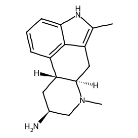 Cc1[nH]c2cccc3c2c1C[C@@H]1[C@@H]3C[C@H](N)CN1C